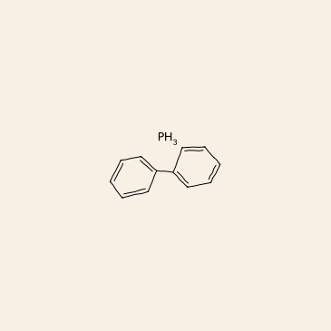 P.c1ccc(-c2ccccc2)cc1